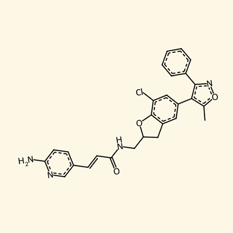 Cc1onc(-c2ccccc2)c1-c1cc(Cl)c2c(c1)CC(CNC(=O)/C=C/c1ccc(N)nc1)O2